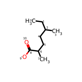 CCC(C)CCC(C)C([O])=O